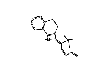 C=C/C=C\C(=C1/NC2=C1CCc1ccccc12)C(C)(C)C